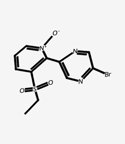 CCS(=O)(=O)c1ccc[n+]([O-])c1-c1cnc(Br)cn1